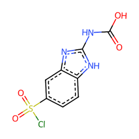 O=C(O)Nc1nc2cc(S(=O)(=O)Cl)ccc2[nH]1